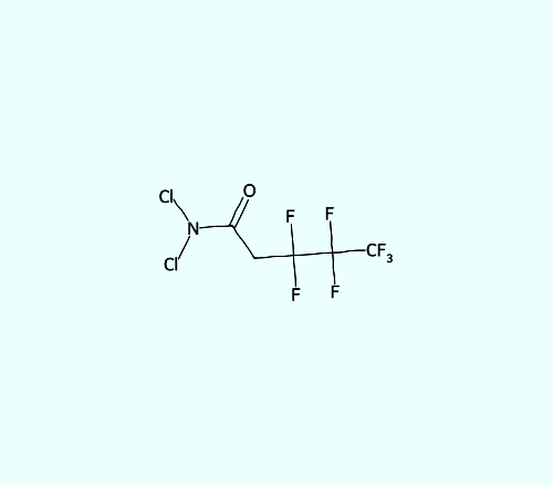 O=C(CC(F)(F)C(F)(F)C(F)(F)F)N(Cl)Cl